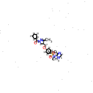 COc1nccnc1N(C)S(=O)(=O)c1ccc(OCC2CN(C(=O)c3ccccc3)N=C2C)cc1